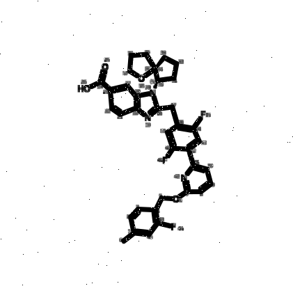 Cc1ccc(COc2cccc(-c3cc(F)c(Cc4nc5ccc(C(=O)O)cc5n4[C@H]4CCC[C@@]45CCCO5)cc3F)n2)c(F)c1